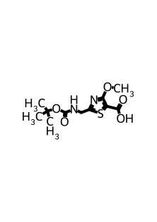 COc1nc(CNC(=O)OC(C)(C)C)sc1C(=O)O